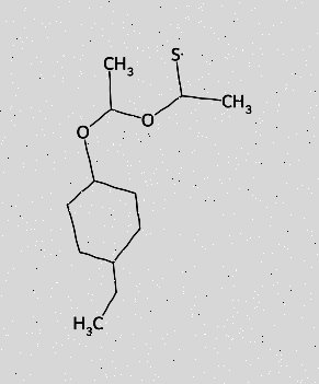 CCC1CCC(OC(C)OC(C)[S])CC1